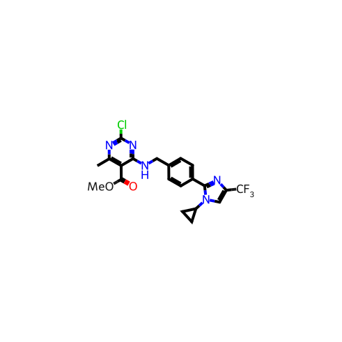 COC(=O)c1c(C)nc(Cl)nc1NCc1ccc(-c2nc(C(F)(F)F)cn2C2CC2)cc1